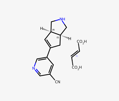 N#Cc1cncc(C2=C[C@H]3CNC[C@H]3C2)c1.O=C(O)/C=C/C(=O)O